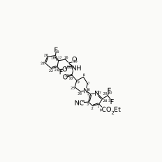 CCOC(=O)c1cc(C#N)c(N2CCC(C(=O)NS(=O)(=O)Cc3c(F)cccc3F)CC2)nc1C(F)F